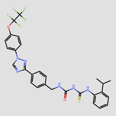 CC(C)c1ccccc1NC(=S)NC(=O)NCc1ccc(-c2ncn(-c3ccc(OC(F)(F)C(F)(F)F)cc3)n2)cc1